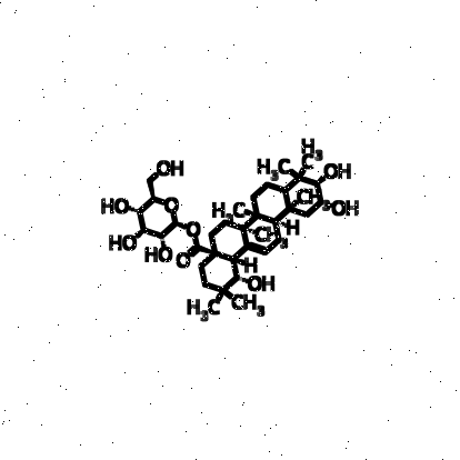 CC1(C)CC[C@]2(C(=O)O[C@@H]3O[C@H](CO)[C@@H](O)[C@H](O)[C@H]3O)CC[C@]3(C)C(=CC[C@@H]4[C@@]5(C)C[C@@H](O)[C@H](O)C(C)(C)C5CC[C@]43C)[C@@H]2[C@@H]1O